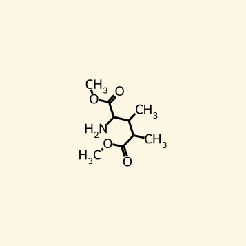 COC(=O)C(C)C(C)C(N)C(=O)OC